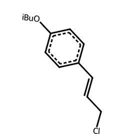 CC(C)COc1ccc(C=CCCl)cc1